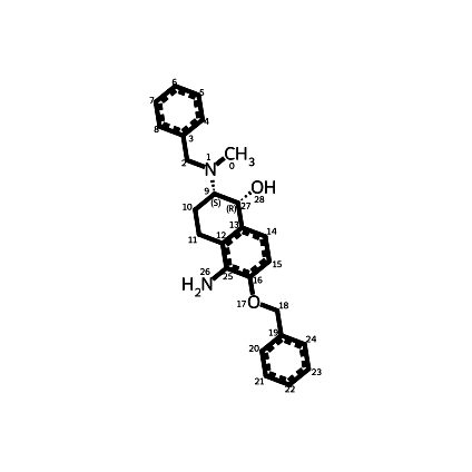 CN(Cc1ccccc1)[C@H]1CCc2c(ccc(OCc3ccccc3)c2N)[C@H]1O